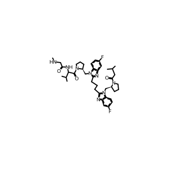 CNCC(=O)NC(C(=O)N1CCC[C@H]1Cn1c(CCCc2nc3cc(F)ccc3n2C[C@@H]2CCCN2C(=O)CC(C)C)nc2cc(F)ccc21)C(C)C